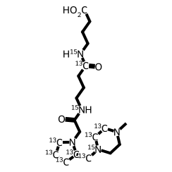 CN1CC[15N]([13CH2][13CH]2[13CH2][13CH2][13CH2]N2CC(=O)[15NH]CCC[13C](=O)[15NH]CCC[13C](=O)O)[13CH2][13CH2]1